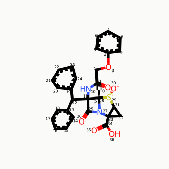 O=C(COc1ccccc1)NC1(C(c2ccccc2)c2ccccc2)C(=O)N2[C@H]1[S+]([O-])C1CC12C(=O)O